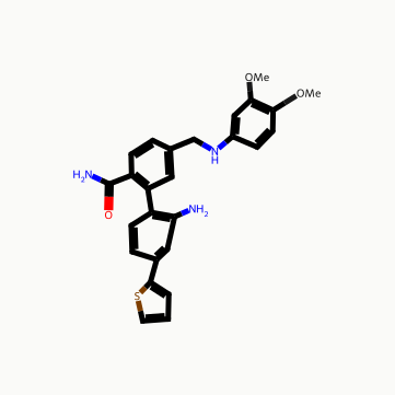 COc1ccc(NCc2ccc(C(N)=O)c(-c3ccc(-c4cccs4)cc3N)c2)cc1OC